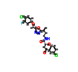 C=C(CCNC(=O)[C@H]1CC(=O)c2cc(Cl)ccc2O1)c1nnc(COc2ccc(Cl)c(F)c2)o1